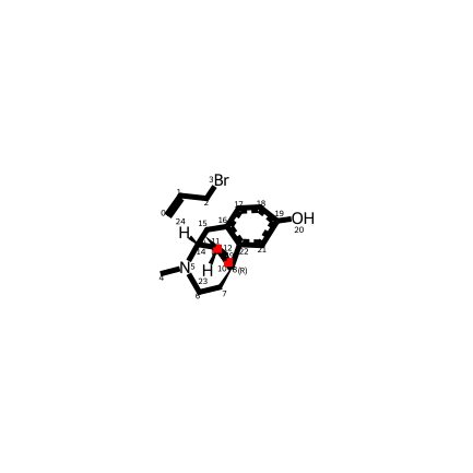 C=CCBr.CN1CC[C@]23CCCC[C@H]2[C@H]1Cc1ccc(O)cc13